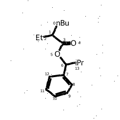 CCCCC(CC)C(=O)OC(c1ccccc1)C(C)C